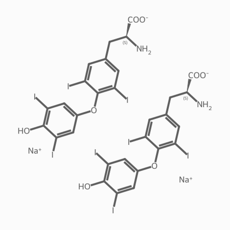 N[C@@H](Cc1cc(I)c(Oc2cc(I)c(O)c(I)c2)c(I)c1)C(=O)[O-].N[C@@H](Cc1cc(I)c(Oc2cc(I)c(O)c(I)c2)c(I)c1)C(=O)[O-].[Na+].[Na+]